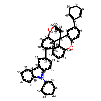 C1=CC(c2ccc3c(c2)C2(c4ccccc4O3)c3ccccc3Oc3ccc(-c4ccc5c(c4)c4ccccc4n5-c4ccccc4)cc32)=CCC1